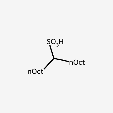 CCCCCCCCC(CCCCCCCC)S(=O)(=O)O